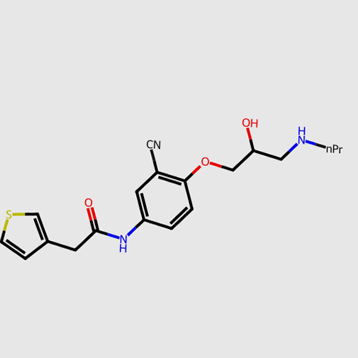 CCCNCC(O)COc1ccc(NC(=O)Cc2ccsc2)cc1C#N